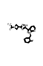 O=C(N1CC(c2n[nH]c(-c3nn(Cc4ccccc4F)c4ncccc34)n2)C1)C(F)(F)F